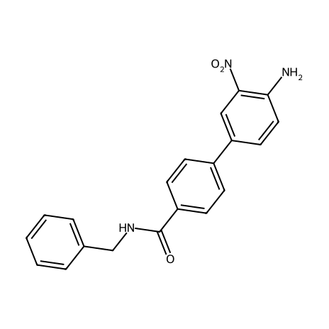 Nc1ccc(-c2ccc(C(=O)NCc3ccccc3)cc2)cc1[N+](=O)[O-]